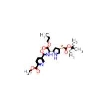 C=CCOC(=O)C(NC(=O)c1ccc(C(=O)OC)nc1)[C@@H]1C[C@H](SC(=O)OC(C)(C)C)CN1